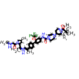 C=C(N/C=C(\C)c1ccc(-c2ccc(NC(=O)N3CCN(C4CCN(C(=O)C(C)(C)C)CC4)CC3)cc2OC(F)(F)F)cc1)C1CC(C)CN1C(=O)CNC